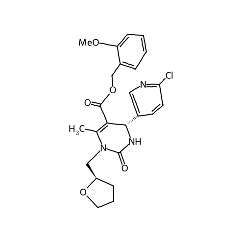 COc1ccccc1COC(=O)C1=C(C)N(C[C@H]2CCCO2)C(=O)N[C@H]1c1ccc(Cl)nc1